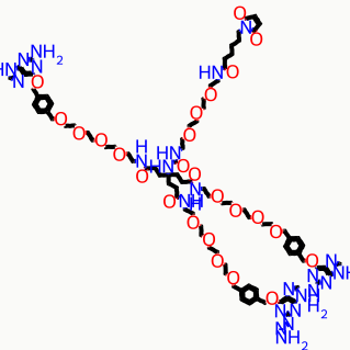 NN=Nc1nc(OCc2ccc(COCCOCCOCCOCCNC(=O)CCC(CCC(=O)NCCOCCOCCOCCOCc3ccc(COc4nc(N)nc5[nH]cnc45)cc3)(CCC(=O)NCCOCCOCCOCCOCc3ccc(COc4nc(N)nc5[nH]cnc45)cc3)NC(=O)NCCOCCOCCOCCNC(=O)CCCCCN3C(=O)C=CC3=O)cc2)c2nc[nH]c2n1